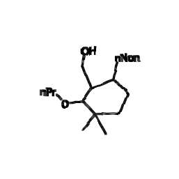 CCCCCCCCCC1CCC(C)(C)C(OCCC)C1CO